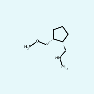 PNC[C@H]1CCC[C@H]1COP